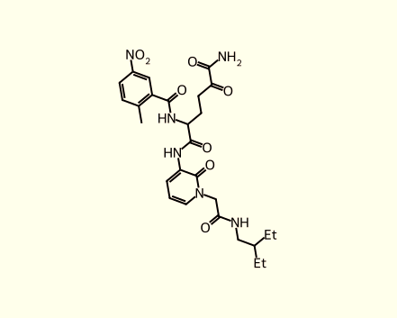 CCC(CC)CNC(=O)Cn1cccc(NC(=O)C(CCC(=O)C(N)=O)NC(=O)c2cc([N+](=O)[O-])ccc2C)c1=O